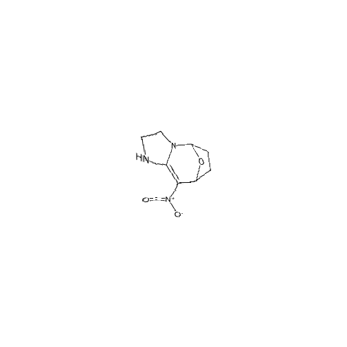 O=[N+]([O-])C1=C2NCCN2C2CCC1O2